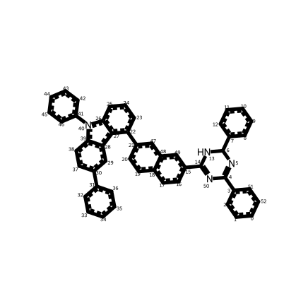 c1ccc(C2=NC(c3ccccc3)NC(c3ccc4ccc(-c5cccc6c5c5cc(-c7ccccc7)ccc5n6-c5ccccc5)cc4c3)=N2)cc1